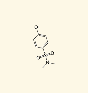 CN(C)S(=O)(=O)c1ccc([O])cc1